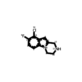 Fc1ccc2c(cc3n2CCNC3)c1Cl